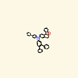 c1ccc(-c2ccc(N(c3ccc(-c4ccccc4)c(-c4ccccc4)c3)c3ccc4c(ccc5oc6ccccc6c54)c3)cc2)cc1